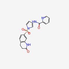 O=C1CCc2ccc(S(=O)(=O)n3ccc(NC(=O)c4ccccn4)c3)cc2N1